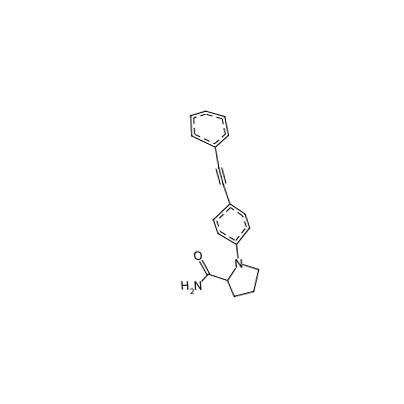 NC(=O)C1CCCN1c1ccc(C#Cc2ccccc2)cc1